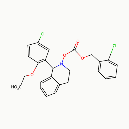 O=C(O)COc1ccc(Cl)cc1C1c2ccccc2CCN1OC(=O)OCc1ccccc1Cl